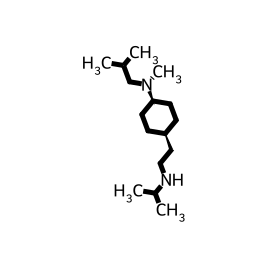 CC(C)CN(C)[C@H]1CC[C@@H](CCNC(C)C)CC1